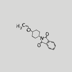 C=COC1CCC(N2C(=O)c3ccccc3C2=O)CC1